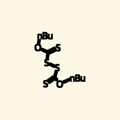 CCCCOC(=S)SSC(=S)OCCCC